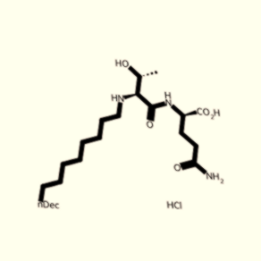 CCCCCCCCCCCCCCCCCCN[C@H](C(=O)N[C@H](CCC(N)=O)C(=O)O)[C@@H](C)O.Cl